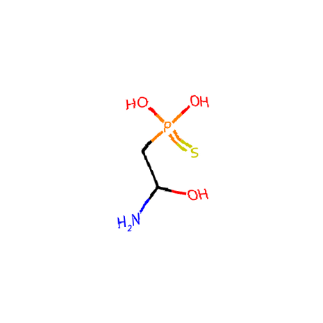 NC(O)CP(O)(O)=S